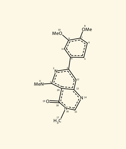 CNc1nc(-c2ccc(OC)c(OC)c2)cc2ncn(C)c(=O)c12